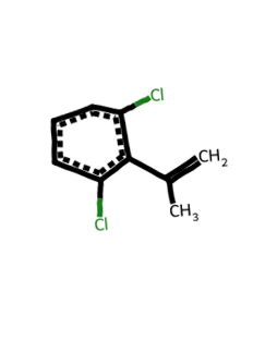 C=C(C)c1c(Cl)cccc1Cl